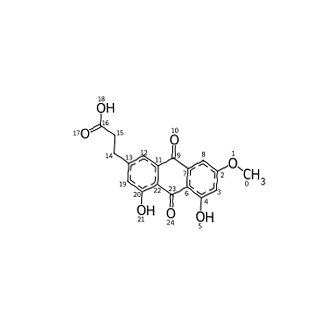 COc1cc(O)c2c(c1)C(=O)c1cc(CCC(=O)O)cc(O)c1C2=O